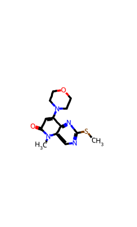 CSc1ncc2c(n1)c(N1CCOCC1)cc(=O)n2C